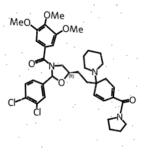 COc1cc(C(=O)N2C[C@@H](CCC3(N4CCCCC4)C=CC(C(=O)N4CCCC4)=CC3)OC2c2ccc(Cl)c(Cl)c2)cc(OC)c1OC